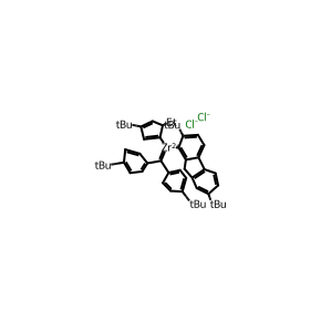 CCC1C=C(C(C)(C)C)C=[C]1[Zr+2](=[C](c1ccc(C(C)(C)C)cc1)c1ccc(C(C)(C)C)cc1)[c]1c(C(C)(C)C)ccc2c1Cc1cc(C(C)(C)C)ccc1-2.[Cl-].[Cl-]